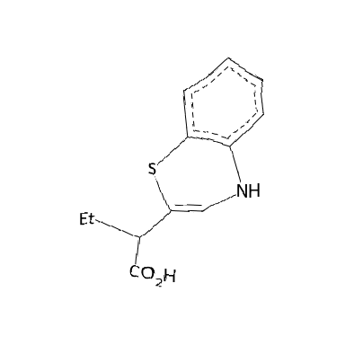 CCC(C(=O)O)C1=CNc2ccccc2S1